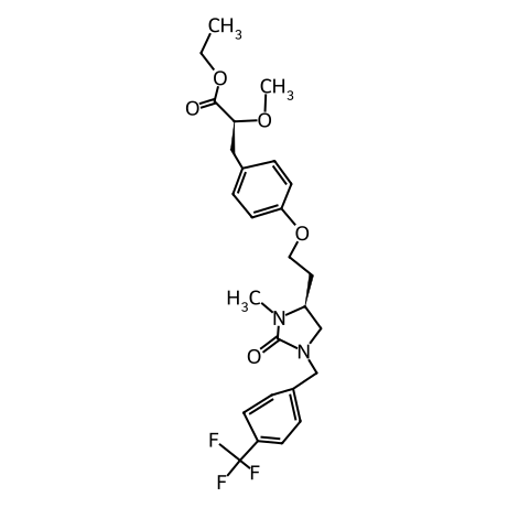 CCOC(=O)[C@H](Cc1ccc(OCC[C@H]2CN(Cc3ccc(C(F)(F)F)cc3)C(=O)N2C)cc1)OC